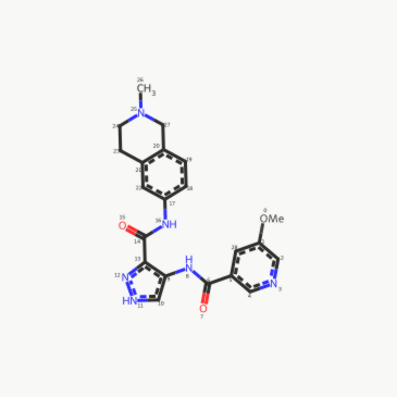 COc1cncc(C(=O)Nc2c[nH]nc2C(=O)Nc2ccc3c(c2)CCN(C)C3)c1